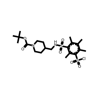 Cc1c(C)c(S(=O)(=O)Cl)c(C)c(S(=O)(=O)NCC2CCN(C(=O)OC(C)(C)C)CC2)c1C